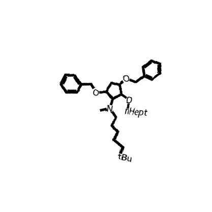 CCCCCCCOC1C(OCc2ccccc2)CC(OCc2ccccc2)C1N(C)CCCCCC(C)(C)C